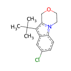 CC(C)(C)c1c2n(c3ccc(Cl)cc13)CCOC2